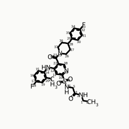 CCNC(=O)CNS(=O)(=O)c1cc(Nc2ccc(F)cc2C)c(C(=O)N2CCC(c3ccc(F)cc3)CC2)cn1